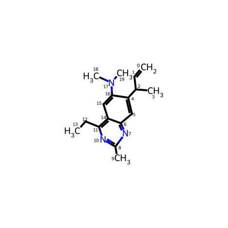 C=CC(C)c1cc2nc(C)nc(CC)c2cc1N(C)C